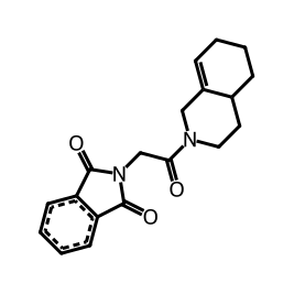 O=C(CN1C(=O)c2ccccc2C1=O)N1CCC2CCCC=C2C1